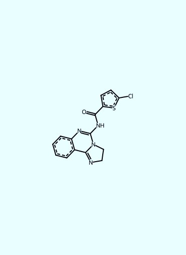 O=C(NC1=Nc2ccccc2C2=NCCN12)c1ccc(Cl)s1